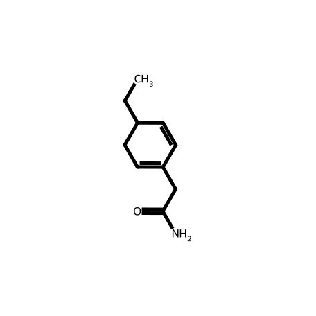 CCC1C=CC(CC(N)=O)=CC1